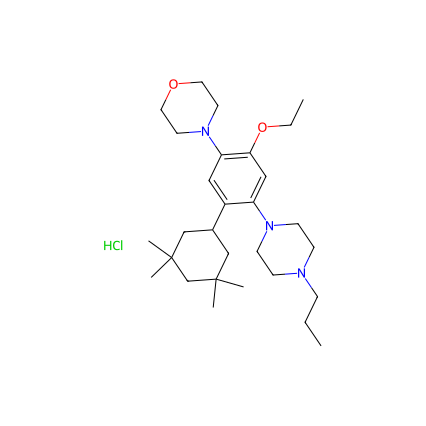 CCCN1CCN(c2cc(OCC)c(N3CCOCC3)cc2C2CC(C)(C)CC(C)(C)C2)CC1.Cl